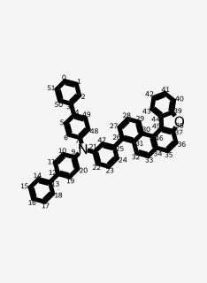 c1ccc(-c2ccc(N(c3ccc(-c4ccccc4)cc3)c3cccc(-c4cccc5c4ccc4ccc6oc7ccccc7c6c45)c3)cc2)cc1